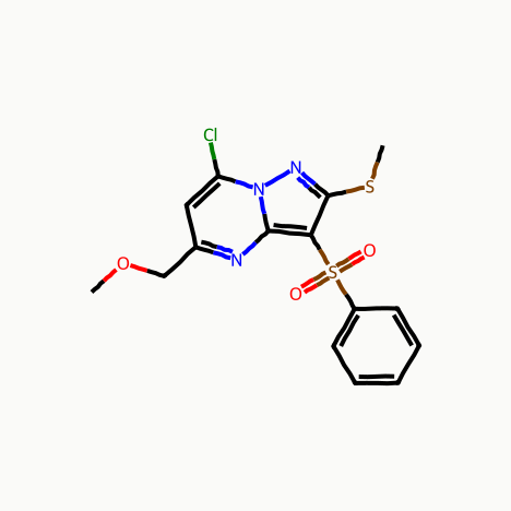 COCc1cc(Cl)n2nc(SC)c(S(=O)(=O)c3ccccc3)c2n1